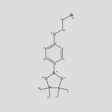 CC1(C)OB(c2ccc(OCCBr)cc2)OC1(C)C